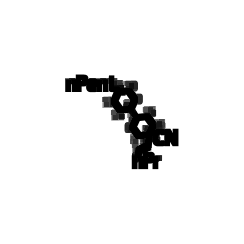 CCCC=C[C@]1(C#N)CC[C@@H](C2CCC(CCCCC)CC2)CC1